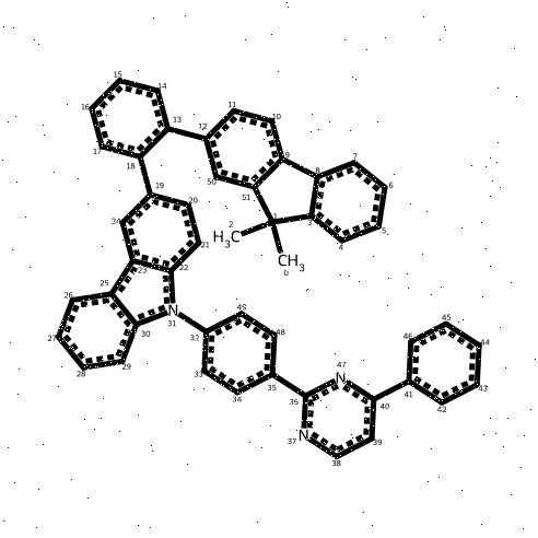 CC1(C)c2ccccc2-c2ccc(-c3ccccc3-c3ccc4c(c3)c3ccccc3n4-c3ccc(-c4nccc(-c5ccccc5)n4)cc3)cc21